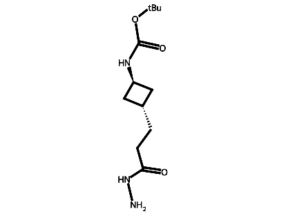 CC(C)(C)OC(=O)N[C@H]1C[C@H](CCC(=O)NN)C1